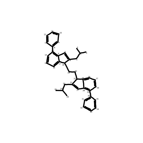 CC(C)CC1=Cc2c(-c3ccccc3)cccc2C1CCC1C(CC(C)C)=Cc2c(-c3ccccc3)cccc21